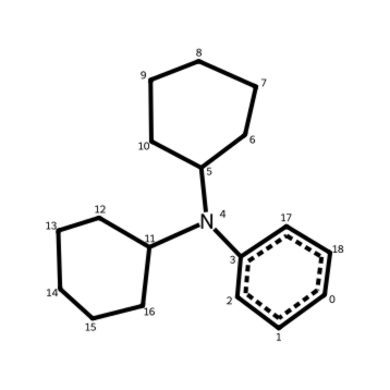 c1ccc(N(C2CCCCC2)C2CCCCC2)cc1